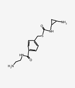 NCCNC(=O)c1ccc(CSC(=O)NC2CC2N)cc1